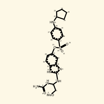 COCC(NC(N)=O)Nc1nc2cc(OS(=O)(=O)c3ccc(NC4CCCC4)cc3)ccc2[nH]1